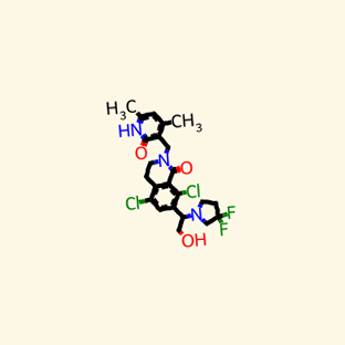 Cc1cc(C)c(CN2CCc3c(Cl)cc(C(CO)N4CCC(F)(F)C4)c(Cl)c3C2=O)c(=O)[nH]1